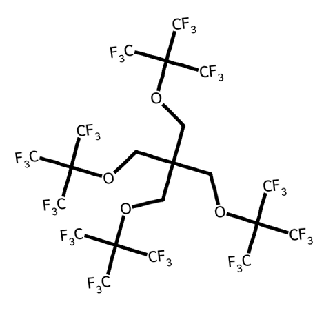 FC(F)(F)C(OCC(COC(C(F)(F)F)(C(F)(F)F)C(F)(F)F)(COC(C(F)(F)F)(C(F)(F)F)C(F)(F)F)COC(C(F)(F)F)(C(F)(F)F)C(F)(F)F)(C(F)(F)F)C(F)(F)F